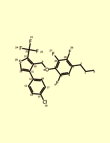 CCCc1cc(F)c(OCc2c(-c3ccc(Cl)cc3)csc2C(F)(F)F)c(F)c1F